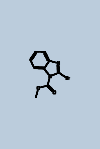 COC(=O)n1c(Br)nc2ccccc21